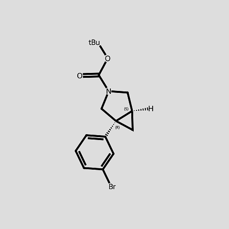 CC(C)(C)OC(=O)N1C[C@H]2C[C@@]2(c2cccc(Br)c2)C1